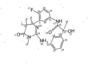 CN1C(=O)C(C)(C)C(C)(c2cc(NC(=O)C(C)(O)c3ccccc3)ccc2F)N=C1N